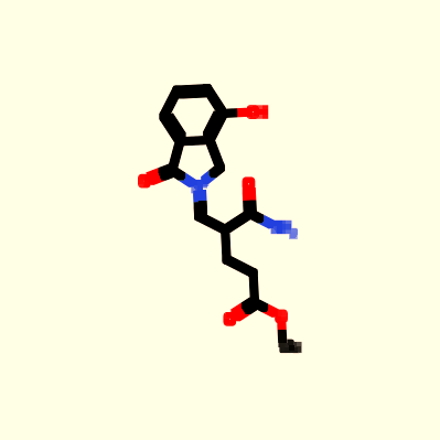 CC(C)(C)OC(=O)CCC(/C=[N+]1\Cc2c(O)cccc2C1=O)C(N)=O